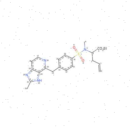 C=CCC(C(=O)OCC)N(C)S(=O)(=O)c1ccc(Cc2nccc3nc(C)[nH]c23)cc1